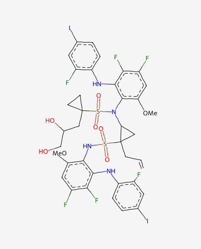 C=CCC1(S(=O)(=O)Nc2c(OC)cc(F)c(F)c2Nc2ccc(I)cc2F)CC1N(c1c(OC)cc(F)c(F)c1Nc1ccc(I)cc1F)S(=O)(=O)C1(CC(O)CO)CC1